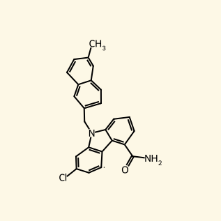 Cc1ccc2cc(Cn3c4cc(Cl)c[c]c4c4c(C(N)=O)cccc43)ccc2c1